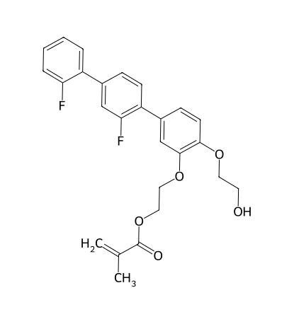 C=C(C)C(=O)OCCOc1cc(-c2ccc(-c3ccccc3F)cc2F)ccc1OCCO